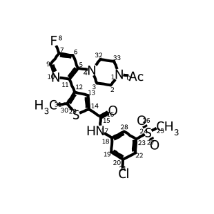 CC(=O)N1CCN(c2cc(F)cnc2-c2cc(C(=O)Nc3cc(Cl)cc(S(C)(=O)=O)c3)sc2C)CC1